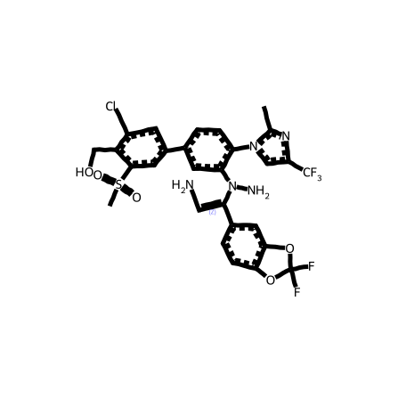 Cc1nc(C(F)(F)F)cn1-c1ccc(-c2cc(Cl)c(CO)c(S(C)(=O)=O)c2)cc1N(N)/C(=C\N)c1ccc2c(c1)OC(F)(F)O2